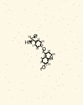 COc1ccc2c(COc3ccc(S(C)(=N)=O)cc3)ccnc2c1